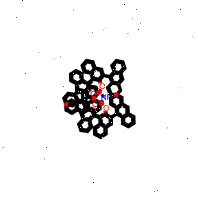 C1=Cc2c(cc3ccccc3c2-c2cc3ccccc3c3c2op(Np2oc4c(-c5c6ccccc6cc6ccccc56)cc5ccccc5c4c4c(o2)c(-c2c5ccccc5cc5ccccc25)cc2ccccc24)oc2c(-c4c5ccccc5cc5ccccc45)cc4ccccc4c23)CC1